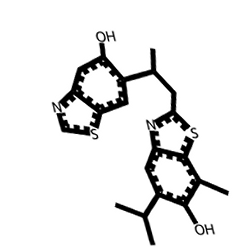 Cc1c(O)c(C(C)C)cc2nc(CC(C)c3cc4scnc4cc3O)sc12